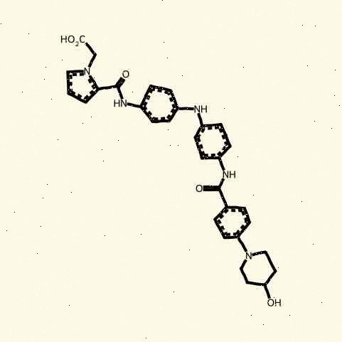 O=C(O)Cn1cccc1C(=O)Nc1ccc(Nc2ccc(NC(=O)c3ccc(N4CCC(O)CC4)cc3)cc2)cc1